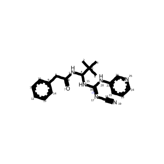 CC(C)(C)C(NC(=O)Cc1ccccc1)N/C(=N/C#N)Nc1cccnc1